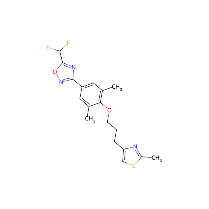 Cc1nc(CCCOc2c(C)cc(-c3noc(C(F)F)n3)cc2C)cs1